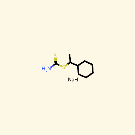 CC(SC(N)=S)C1CCCCC1.[NaH]